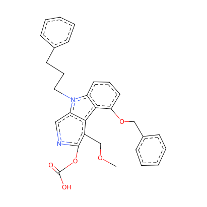 COCc1c(OC(=O)O)ncc2c1c1c(OCc3ccccc3)cccc1n2CCCc1ccccc1